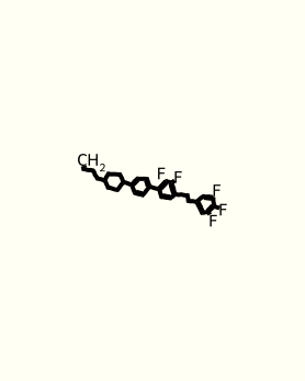 C=CCCC1CCC(c2ccc(-c3ccc(CCc4cc(F)c(F)c(F)c4)c(F)c3F)cc2)CC1